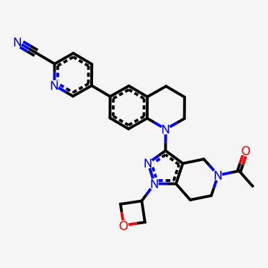 CC(=O)N1CCc2c(c(N3CCCc4cc(-c5ccc(C#N)nc5)ccc43)nn2C2COC2)C1